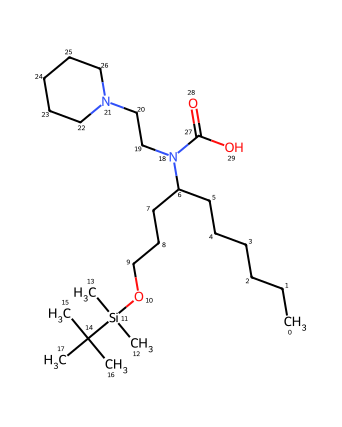 CCCCCCC(CCCO[Si](C)(C)C(C)(C)C)N(CCN1CCCCC1)C(=O)O